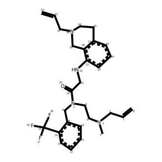 C=CCN(C)CCN(Cc1ccccc1C(F)(F)F)C(=O)CNc1cccc2c1CN(CC=C)CC2